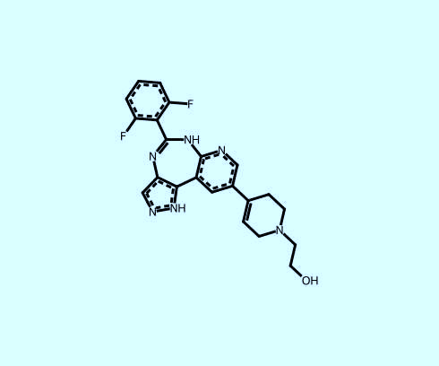 OCCN1CC=C(c2cnc3c(c2)-c2[nH]ncc2N=C(c2c(F)cccc2F)N3)CC1